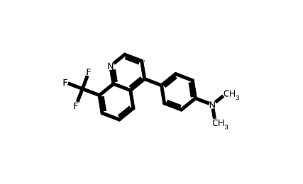 CN(C)c1ccc(-c2[c]cnc3c(C(F)(F)F)cccc23)cc1